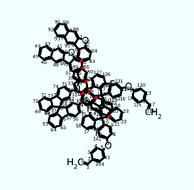 C=Cc1ccc(Oc2ccc(C3(c4c(F)cccc4F)c4ccccc4-c4ccc(N(c5ccc(-c6ccc7oc8cc9ccccc9cc8c7c6)cc5)c5ccc6c(c5)C5(c7ccccc7-6)c6ccccc6-c6ccc(N(c7ccc(-c8ccc9oc%10cc%11ccccc%11cc%10c9c8)cc7)c7ccc8c(c7)C(c7ccc(Oc9ccc(C=C)cc9)cc7)(c7c(F)cccc7F)c7ccccc7-8)cc65)cc43)cc2)cc1